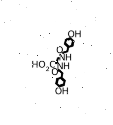 O=C(Cc1ccc(O)cc1)NCC(NC(=O)Cc1ccc(O)cc1)C(=O)O